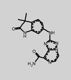 CC1(C)C(=O)Nc2cc(Nc3nc4c(C(N)=O)nccn4n3)ccc21